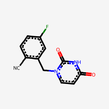 N#Cc1ccc(F)cc1Cn1ccc(=O)[nH]c1=O